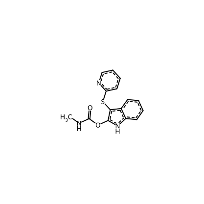 CNC(=O)Oc1[nH]c2ccccc2c1Sc1ccccn1